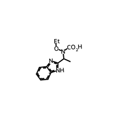 CCON(C(=O)O)C(C)c1nc2ccccc2[nH]1